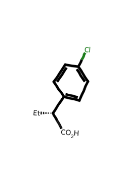 CC[C@@H](C(=O)O)c1ccc(Cl)cc1